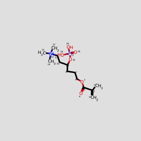 C=C(C)C(=O)OCCCC(CC[N+](C)(C)C)OP(=O)(O)O